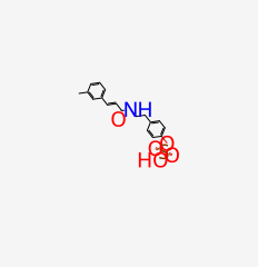 Cc1cccc(/C=C/C(=O)NCCc2ccc(OS(=O)(=O)O)cc2)c1